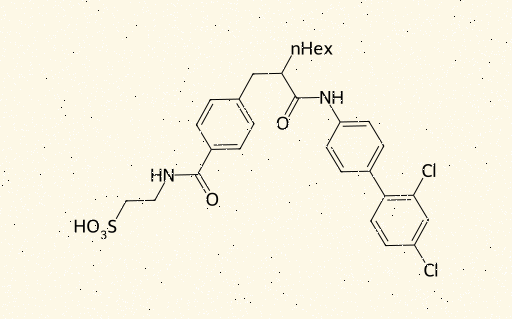 CCCCCCC(Cc1ccc(C(=O)NCCS(=O)(=O)O)cc1)C(=O)Nc1ccc(-c2ccc(Cl)cc2Cl)cc1